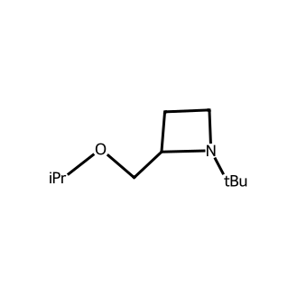 CC(C)OCC1CCN1C(C)(C)C